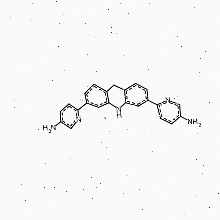 Nc1ccc(-c2ccc3c(c2)Nc2cc(-c4ccc(N)cn4)ccc2C3)nc1